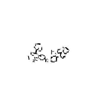 Cc1c(-c2ccc(OC3CCN(C(=O)C4CCCO4)C(C)C3)cc2)ccc2cccnc12